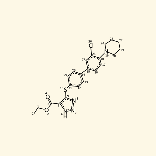 CCOC(=O)c1[nH]nnc1Sc1ccc(-c2ccc(N3CCCCC3)c(Cl)c2)cc1